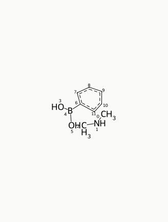 CNC.OB(O)c1ccccc1